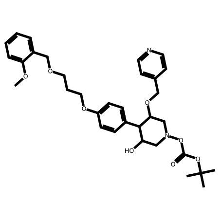 COc1ccccc1COCCCOc1ccc(C2C(O)CN(OC(=O)OC(C)(C)C)CC2OCc2ccncc2)cc1